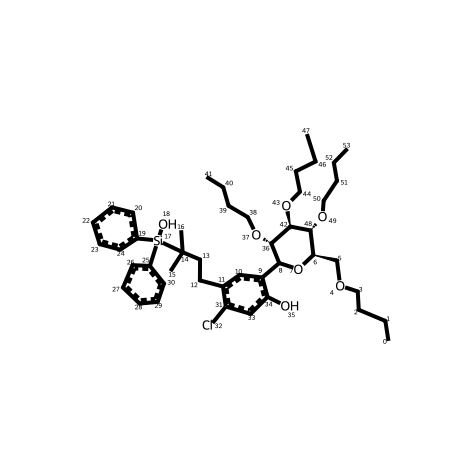 CCCCOC[C@H]1OC(c2cc(CCC(C)(C)[Si](O)(c3ccccc3)c3ccccc3)c(Cl)cc2O)[C@H](OCCCC)[C@@H](OCCCC)[C@@H]1OCCCC